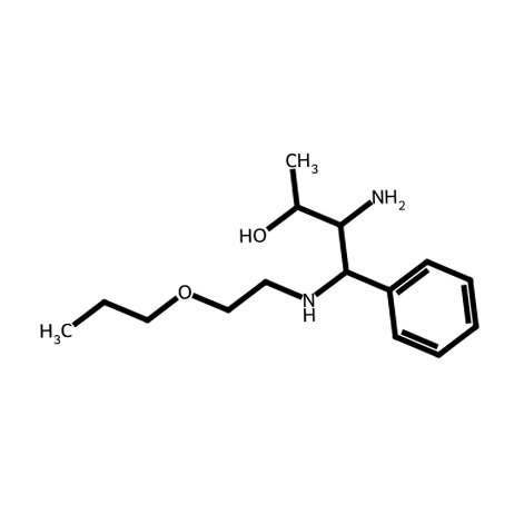 CCCOCCNC(c1ccccc1)C(N)C(C)O